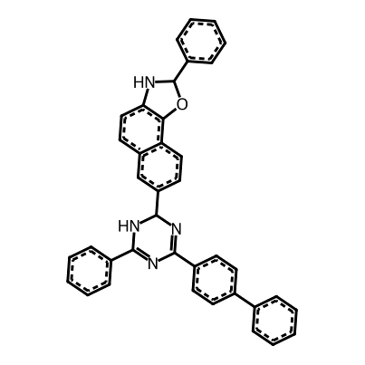 c1ccc(C2=NC(c3ccc(-c4ccccc4)cc3)=NC(c3ccc4c5c(ccc4c3)NC(c3ccccc3)O5)N2)cc1